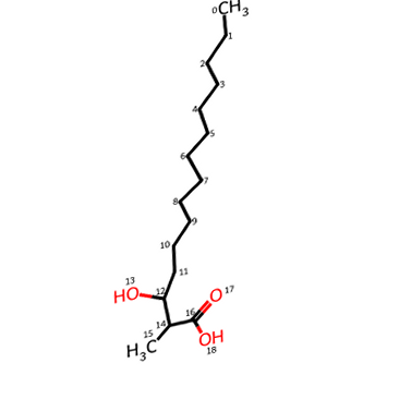 CCCCCCCCCCCCC(O)C(C)C(=O)O